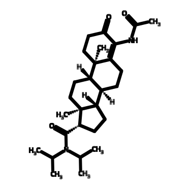 CC(=O)NC1=C2CC[C@H]3[C@@H]4CC[C@H](C(=O)N(C(C)C)C(C)C)[C@@]4(C)CC[C@@H]3[C@@]2(C)CCC1=O